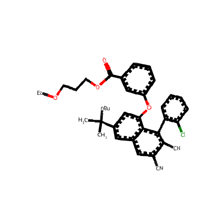 CCCCC(C)(C)c1cc(Oc2cccc(C(=O)OCCCOCC)c2)c2c(-c3ccccc3Cl)c(C#N)c(C#N)cc2c1